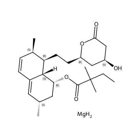 CCC(C)(C)C(=O)O[C@@H]1C[C@H](C)C=C2C=C[C@@H](C)[C@@H](CC[C@@H]3C[C@H](O)CC(=O)O3)[C@@H]21.[MgH2]